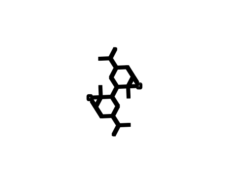 CC(C)C1CC2OC2(C)C(C2CC(C(C)C)CC3OC32C)C1